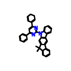 CC1(C)c2ccccc2-c2cc3c4ccccc4n(-c4nc(C5=CCCC=C5)cc(-c5ccccc5)n4)c3cc21